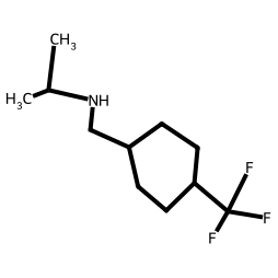 CC(C)NCC1CCC(C(F)(F)F)CC1